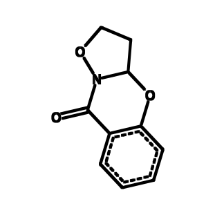 O=C1c2ccccc2OC2CCON12